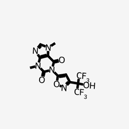 Cn1cnc2c1c(=O)n(-c1cc(C(O)(C(F)(F)F)C(F)(F)F)no1)c(=O)n2C